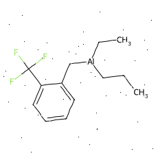 CC[CH2][Al]([CH2]C)[CH2]c1ccccc1C(F)(F)F